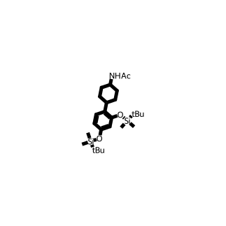 CC(=O)NC1CCC(c2ccc(O[Si](C)(C)C(C)(C)C)cc2O[Si](C)(C)C(C)(C)C)CC1